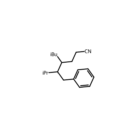 CCC(C)C(CCC#N)[C](Cc1ccccc1)C(C)C